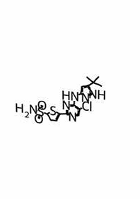 CC(C)(C)c1cc(Nc2nc(C3=CCC(S(N)(=O)=O)S3)ncc2Cl)n[nH]1